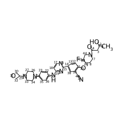 C[C@@H](O)CC(=O)N1CC[C@H](Oc2ccc(-c3nccc(Nc4ccc(N5CCN(C6COC6)CC5)cc4)n3)cc2C#N)[C@H](F)C1